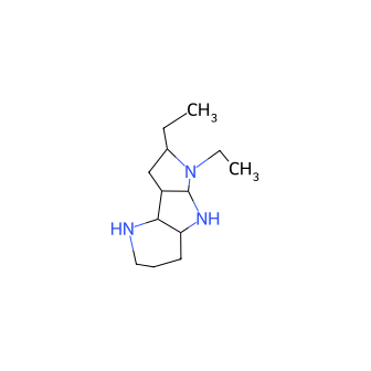 CCC1CC2C3NCCCC3NC2N1CC